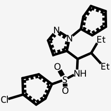 CCC(CC)C(NS(=O)(=O)c1ccc(Cl)cc1)c1ccnn1-c1ccccc1